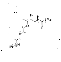 CSC(=O)NCC(F)C(C)OCCOCCNC(C)C